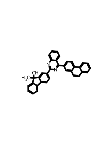 CC1(C)c2ccccc2-c2ccc(-c3nc(-c4ccc5c(ccc6ccccc65)c4)c4ccccc4n3)cc21